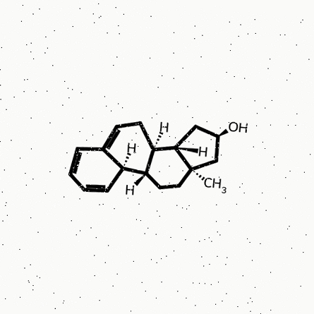 C[C@]12CC[C@H]3[C@@H](CC=C4C=CC=C[C@@H]43)[C@@H]1C[C@@H](O)C2